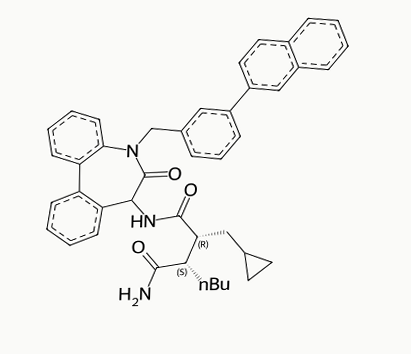 CCCC[C@H](C(N)=O)[C@@H](CC1CC1)C(=O)NC1C(=O)N(Cc2cccc(-c3ccc4ccccc4c3)c2)c2ccccc2-c2ccccc21